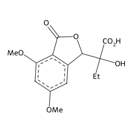 CCC(O)(C(=O)O)C1OC(=O)c2c(OC)cc(OC)cc21